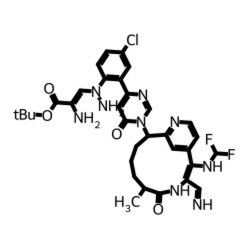 CC1CCCC(n2cnc(-c3cc(Cl)ccc3N(N)/C=C(\N)C(=O)OC(C)(C)C)cc2=O)c2cc(ccn2)/C(NC(F)F)=C(/C=N)NC1=O